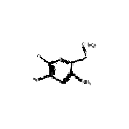 Nc1cc(Br)c(Cl)cc1CC=O